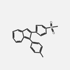 Cc1ccc(-c2c3cccccc-3cc2-c2ccc(S(C)(=O)=O)cc2)cc1